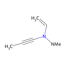 C=CN(C#CC)NC